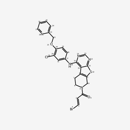 O=C(C=CBr)N1CCc2c(sc3ncnc(Nc4ccc(OCc5ccccn5)c(Cl)c4)c23)C1